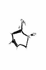 O=[N+]1CC=CC=C1O